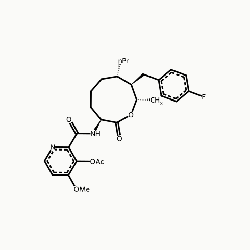 CCC[C@H]1CCC[C@H](NC(=O)c2nccc(OC)c2OC(C)=O)C(=O)O[C@@H](C)[C@@H]1Cc1ccc(F)cc1